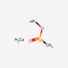 CCCO[PH](C)=O.[CaH2]